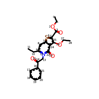 CCOC(=O)c1sc2cc(CC)n(CC(=O)c3ccccc3)c(=O)c2c1OCC